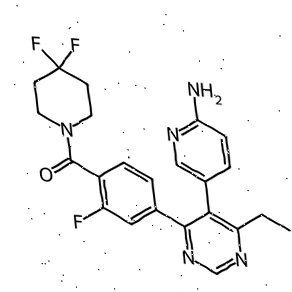 CCc1ncnc(-c2ccc(C(=O)N3CCC(F)(F)CC3)c(F)c2)c1-c1ccc(N)nc1